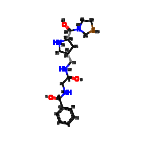 O=C(CNC(=O)c1ccccc1)NC[C@@H]1CN[C@H](C(=O)N2CCSC2)C1